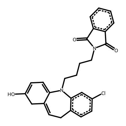 O=C1c2ccccc2C(=O)N1CCCCN1C2=CC=C(O)CC2=CCc2ccc(Cl)cc21